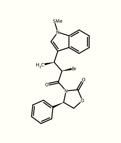 CSn1cc([C@H](C)[C@@H](Br)C(=O)N2C(=O)OC[C@H]2c2ccccc2)c2ccccc21